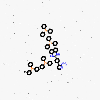 Nc1ncccc1-c1ccc(B2Nc3cccc4cccc(c34)N2)cc1.[Pd].c1ccc(P(c2ccccc2)c2ccccc2)cc1.c1ccc(P(c2ccccc2)c2ccccc2)cc1.c1ccc(P(c2ccccc2)c2ccccc2)cc1.c1ccc(P(c2ccccc2)c2ccccc2)cc1